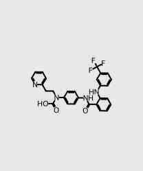 O=C(Nc1ccc(N(CCc2ccccn2)C(=O)O)cc1)c1ccccc1Nc1cccc(C(F)(F)F)c1